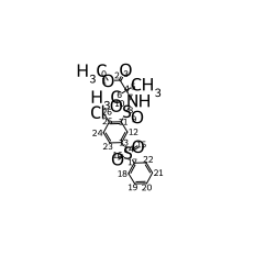 COC(=O)C(C)(C)NS(=O)(=O)c1cc(S(=O)(=O)c2ccccc2)ccc1Cl